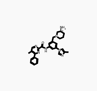 Cc1cn(-c2cc(CN3CCC[C@H](N)C3)cc(NC(=O)c3ncc(C)c(-c4ccccc4)n3)c2)cn1